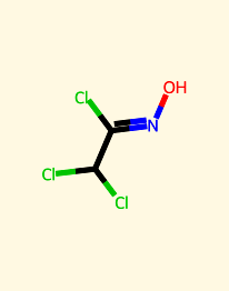 ON=C(Cl)C(Cl)Cl